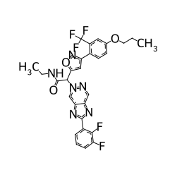 CCCOc1ccc(-c2cc(C(C(=O)NCC)n3cc4nc(-c5cccc(F)c5F)nc-4cn3)on2)c(C(F)(F)F)c1